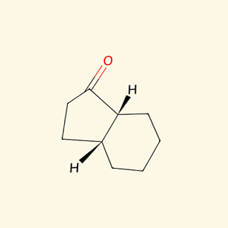 O=C1CC[C@H]2CCCC[C@@H]12